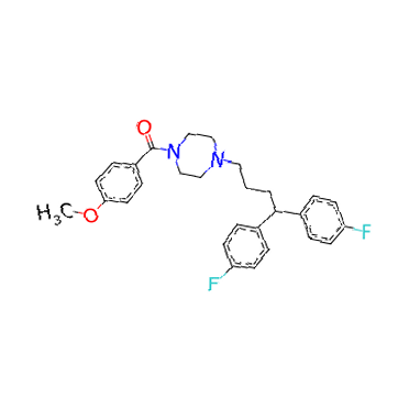 COc1ccc(C(=O)N2CCN(CCCC(c3ccc(F)cc3)c3ccc(F)cc3)CC2)cc1